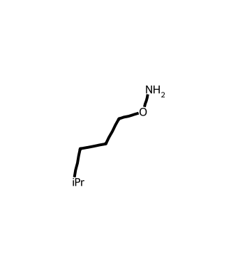 CC(C)CCCON